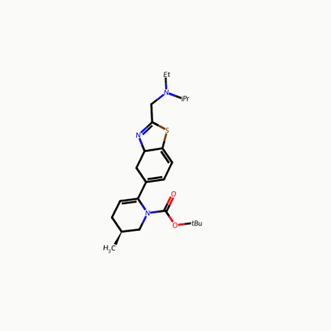 CCN(CC1=NC2CC(C3=CC[C@H](C)CN3C(=O)OC(C)(C)C)=CC=C2S1)C(C)C